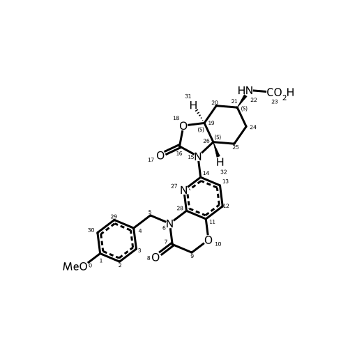 COc1ccc(CN2C(=O)COc3ccc(N4C(=O)O[C@H]5C[C@@H](NC(=O)O)CC[C@@H]54)nc32)cc1